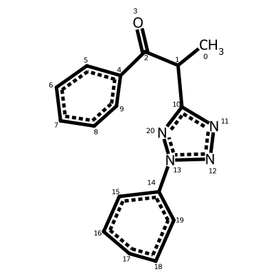 CC(C(=O)c1ccccc1)c1nnn(-c2ccccc2)n1